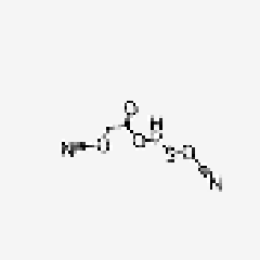 N#COCC(=O)OPSOC#N